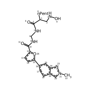 CCCCCC(CNO)C(=O)NCNC(=O)c1ccc(-c2ccc3cn(C)nc3c2)o1